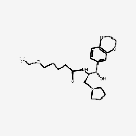 O=C(CCCCOCC(F)(F)F)N[C@H](CN1CCCC1)[C@H](O)c1ccc2c(c1)OCCO2